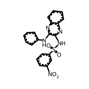 O=[N+]([O-])c1cccc(S(=O)(=O)Nc2nc3ccccc3nc2Nc2ccccc2)c1